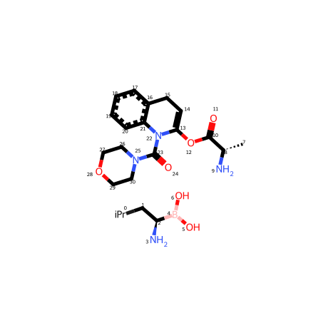 CC(C)C[C@H](N)B(O)O.C[C@H](N)C(=O)OC1=CCc2ccccc2N1C(=O)N1CCOCC1